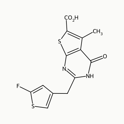 Cc1c(C(=O)O)sc2nc(Cc3csc(F)c3)[nH]c(=O)c12